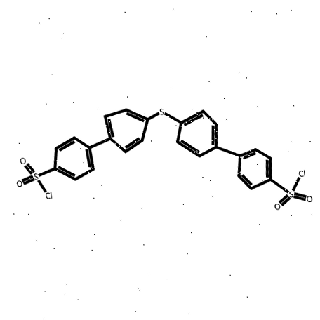 O=S(=O)(Cl)c1ccc(-c2ccc(Sc3ccc(-c4ccc(S(=O)(=O)Cl)cc4)cc3)cc2)cc1